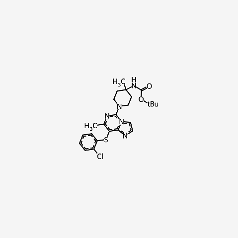 Cc1nc(N2CCC(C)(NC(=O)OC(C)(C)C)CC2)n2ccnc2c1Sc1ccccc1Cl